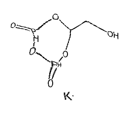 O=[PH]1OC(CO)O[PH](=O)O1.[K]